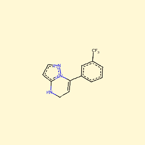 FC(F)(F)c1cccc(C2=CCNc3ccnn32)c1